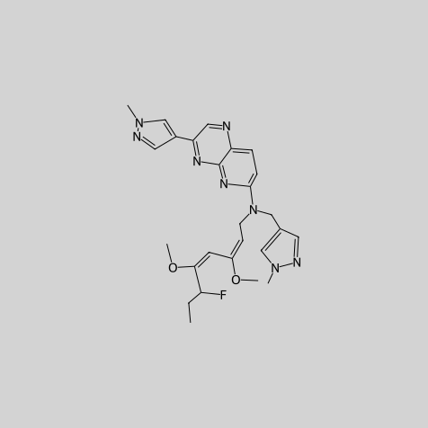 CCC(F)/C(=C\C(=C/CN(Cc1cnn(C)c1)c1ccc2ncc(-c3cnn(C)c3)nc2n1)OC)OC